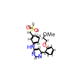 COCCOc1ccccc1-c1cc(Nc2cccc(CS(C)(=O)=O)c2)ncn1